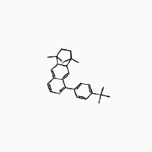 CC(C)(C)c1ccc(-c2nccc3c2=CC2C(C=3)C3(C)CCC2(C)O3)cc1